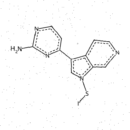 Nc1nccc(-c2cn(SI)c3cnccc23)n1